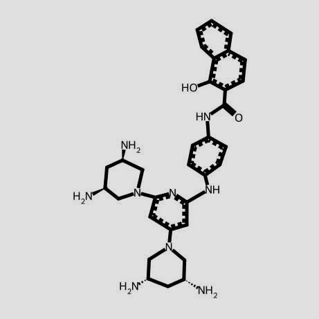 N[C@@H]1C[C@H](N)CN(c2cc(Nc3ccc(NC(=O)c4ccc5ccccc5c4O)cc3)nc(N3C[C@H](N)C[C@H](N)C3)c2)C1